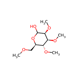 COC[C@H]1OC(O)[C@@H](OC)[C@@H](OC)[C@@H]1OC